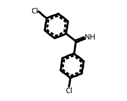 N=C(c1ccc(Cl)cc1)c1ccc(Cl)cc1